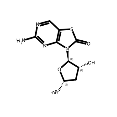 CC[CH][C@H]1C[C@@H](O)[C@H](n2c(=O)sc3cnc(N)nc32)O1